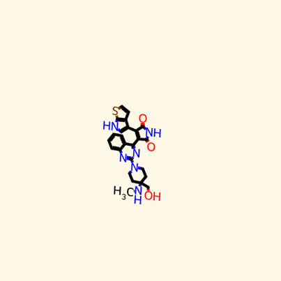 CNC1(CO)CCN(c2nc(C3=C(c4c[nH]c5sccc45)C(=O)NC3=O)c3ccccc3n2)CC1